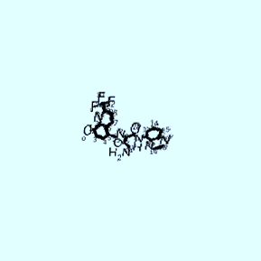 COc1ccc(-c2nc(C(=O)NC3CCCc4nccnc43)c(CN)o2)c2ccc(C(F)(F)F)nc12